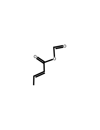 C/C=C/C(=O)OC=O